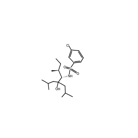 CC[C@H](C)[C@H](NS(=O)(=O)c1cccc(Cl)c1)C(O)(CC(C)C)CC(C)C